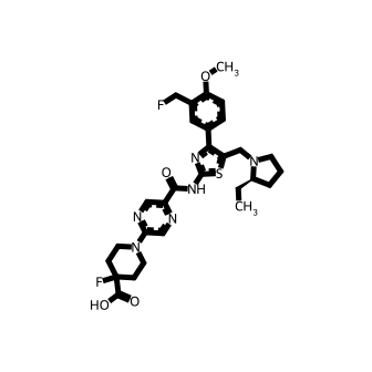 CC[C@@H]1CCCN1Cc1sc(NC(=O)c2cnc(N3CCC(F)(C(=O)O)CC3)cn2)nc1-c1ccc(OC)c(CF)c1